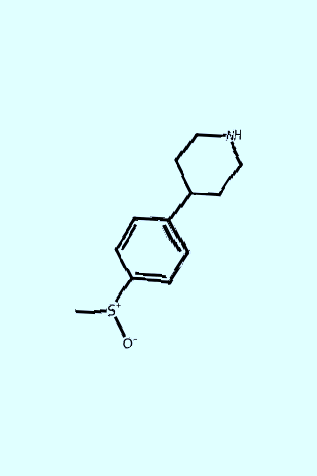 C[S+]([O-])c1ccc(C2CCNCC2)cc1